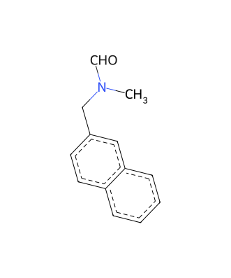 CN(C=O)Cc1ccc2ccccc2c1